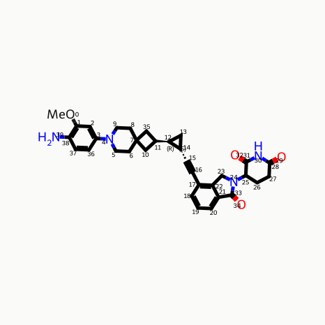 COc1cc(N2CCC3(CC2)CC([C@H]2C[C@@H]2C#Cc2cccc4c2CN(C2CCC(=O)NC2=O)C4=O)C3)ccc1N